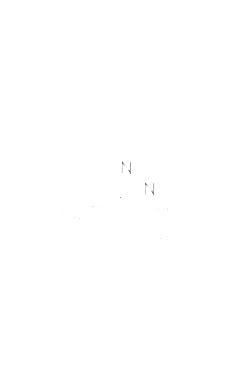 C/N=C(\N(C)c1ccccc1)C(C)(C)CCCC(C)C